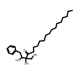 CCCCCCCCCCCCCCCC(=O)C(O)(CO)C(O)Cc1ccccc1